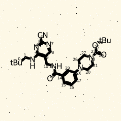 CC(C)(C)CNc1nc(C#N)ncc1CNC(=O)c1cccc(N2CCN(C(=O)OC(C)(C)C)CC2)c1